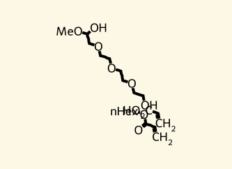 C=CC(=O)O.C=CC(=O)OCCCCCC.COC(O)COCCOCCOCCO